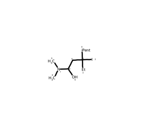 CCCC(C)C(I)(CC)CC(O)N(C)C